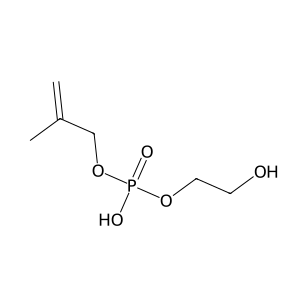 C=C(C)COP(=O)(O)OCCO